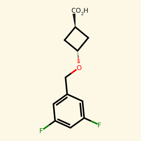 O=C(O)[C@H]1C[C@H](OCc2cc(F)cc(F)c2)C1